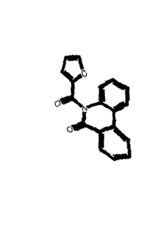 O=C(c1ccco1)n1c(=O)c2ccccc2c2ccccc21